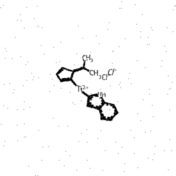 CC(C)=C1C=CC=[C]1[Ti+2][c]1cc2ccccc2[nH]1.[Cl-].[Cl-]